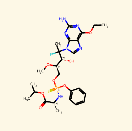 CCOc1nc(N)nc2c1ncn2C(C)(F)[C@H](O)[C@@H](CO[P@@](=S)(N[C@H](C)C(=O)OC(C)C)Oc1ccccc1)OC